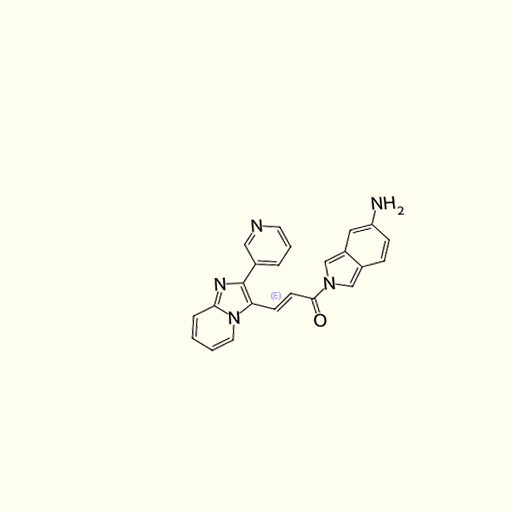 Nc1ccc2cn(C(=O)/C=C/c3c(-c4cccnc4)nc4ccccn34)cc2c1